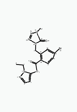 CCn1nccc1OC(=O)c1ccc(Br)cc1Cn1nnn(C)c1=O